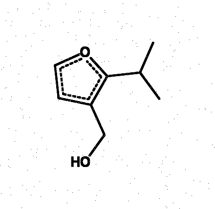 CC(C)c1occc1CO